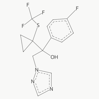 OC(Cn1cncn1)(c1ccc(F)cc1)C1(SC(F)(F)F)CC1